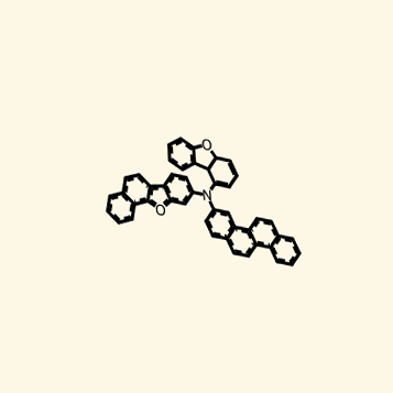 C1=CC2Oc3ccccc3C2C(N(c2ccc3c(c2)oc2c4ccccc4ccc32)c2ccc3ccc4c5ccccc5ccc4c3c2)=C1